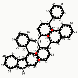 c1ccc(-c2ccc(N(c3ccccc3-c3ccc4ccccc4c3)c3ccccc3-c3cccc4sc5ccccc5c34)cc2)cc1